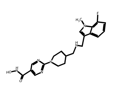 Cn1cc(CNCC2CCN(c3ncc(C(=O)NO)cn3)CC2)c2cccc(F)c21